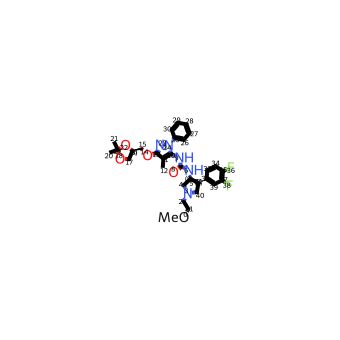 COCCN1C[C@@H](NC(=O)Nc2c(C)c(OC[C@H]3COC(C)(C)O3)nn2-c2ccccc2)[C@H](c2ccc(F)c(F)c2)C1